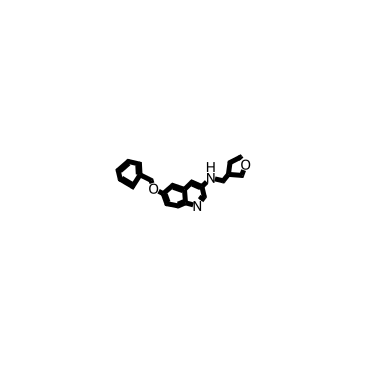 c1ccc(COc2ccc3ncc(NCC4CCOC4)cc3c2)cc1